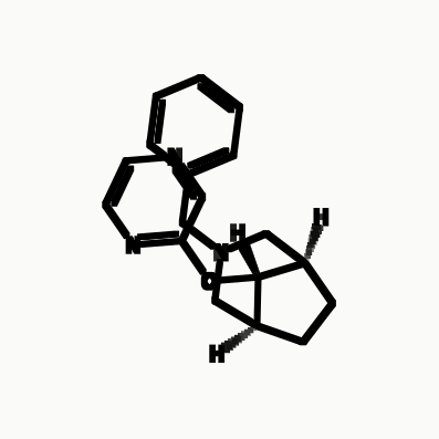 c1ccc(CN2C[C@H]3CC[C@@H](C2)[C@@H]3Oc2cnccn2)cc1